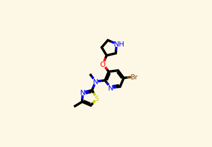 Cc1csc(N(C)c2ncc(Br)cc2OC2CCNC2)n1